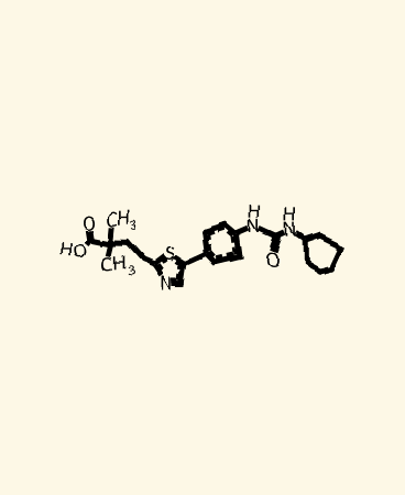 CC(C)(CCc1ncc(-c2ccc(NC(=O)NC3CCCCC3)cc2)s1)C(=O)O